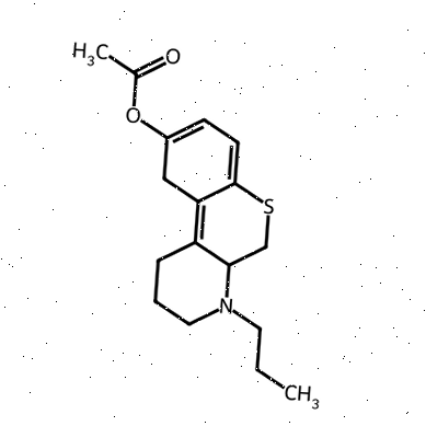 CCCN1CCCC2=C3CC(OC(C)=O)=CC=C3SCC21